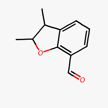 CC1Oc2c(C=O)cccc2C1C